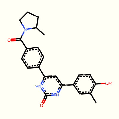 Cc1cc(-c2cc(-c3ccc(C(=O)N4CCCC4C)cc3)[nH]c(=O)n2)ccc1O